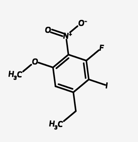 CCc1cc(OC)c([N+](=O)[O-])c(F)c1I